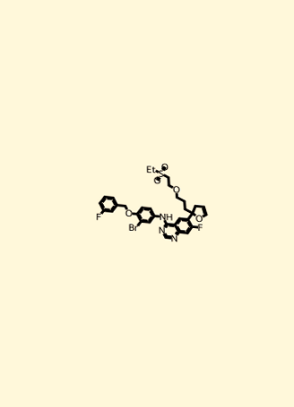 CCS(=O)(=O)CCOCCCC1(c2cc3c(Nc4ccc(OCc5cccc(F)c5)c(Br)c4)ncnc3cc2F)CC=CO1